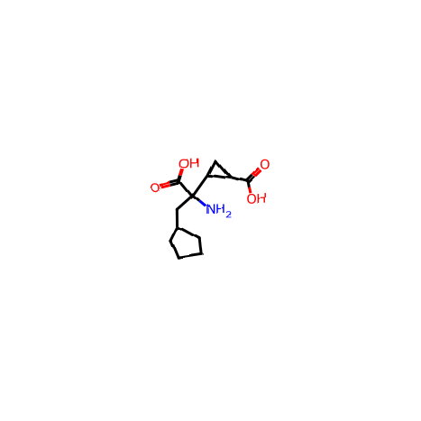 NC(CC1CCCC1)(C(=O)O)C1CC1C(=O)O